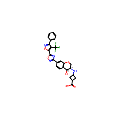 O=C(O)C1CC(N[C@@H]2COc3cc(-c4noc(-c5onc(-c6ccccc6)c5C(F)(F)F)n4)ccc3[C@@H]2O)C1